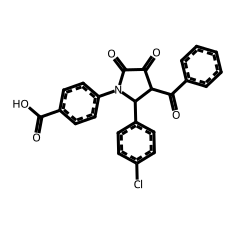 O=C(O)c1ccc(N2C(=O)C(=O)C(C(=O)c3ccccc3)C2c2ccc(Cl)cc2)cc1